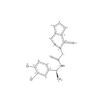 C[C@H](NC(=O)Cn1ncc2sccc2c1=O)c1ccc(Cl)c(Cl)c1